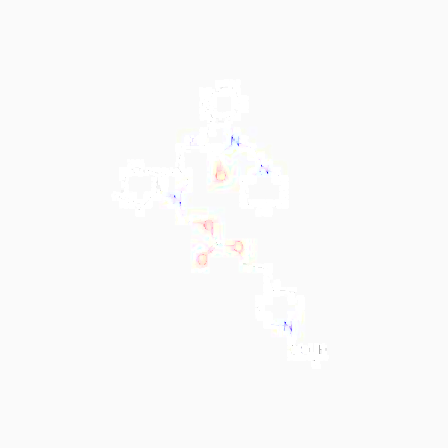 O=C(OCCC1CCN(C(=O)O)CC1)OCn1cc(/C=C2\C(=O)N(CN3CCCCC3)c3ccccc32)c2ccccc21